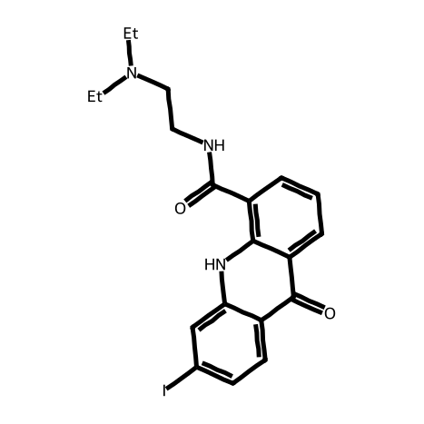 CCN(CC)CCNC(=O)c1cccc2c(=O)c3ccc(I)cc3[nH]c12